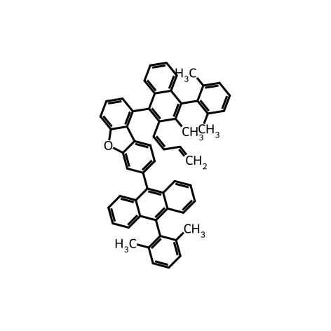 C=C/C=C\c1c(C)c(-c2c(C)cccc2C)c2ccccc2c1-c1cccc2oc3cc(-c4c5ccccc5c(-c5c(C)cccc5C)c5ccccc45)ccc3c12